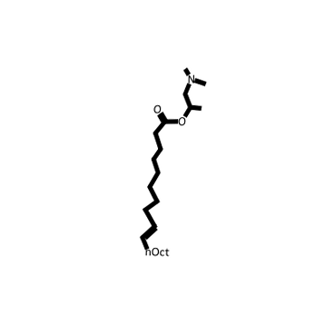 CCCCCCCCC=CCCCCCCCC(=O)OC(C)CN(C)C